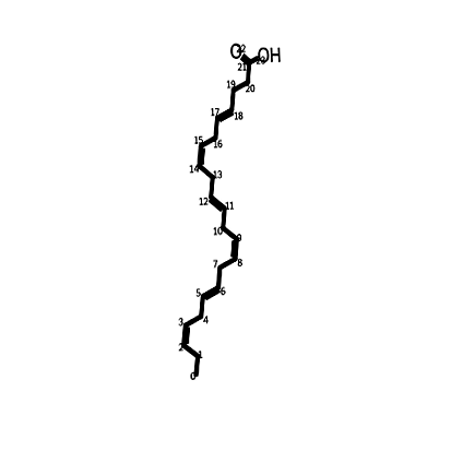 CC/C=C\C/C=C/C/C=C\C/C=C/C/C=C\C/C=C/CCC(=O)O